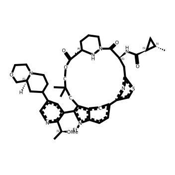 CCn1c(-c2cc(C3CCN4CCOC[C@@H]4C3)cnc2[C@H](C)OC)c2c3cc(ccc31)-c1csc(n1)C[C@H](NC(=O)[C@H]1C[C@@H]1C)C(=O)N1CCC[C@@](C)(N1)C(=O)OCC(C)(C)C2